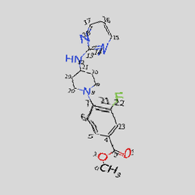 COC(=O)c1ccc(N2CCC(Nc3ncccn3)CC2)c(F)c1